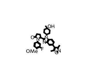 COc1ccc(N2C(=O)CCC2c2nc3cc(-c4c(C)noc4C)ccc3n2C2CCC(C)(O)CC2)cc1F